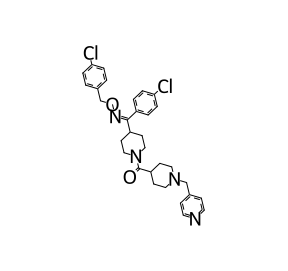 O=C(C1CCN(Cc2ccncc2)CC1)N1CCC(C(=NOCc2ccc(Cl)cc2)c2ccc(Cl)cc2)CC1